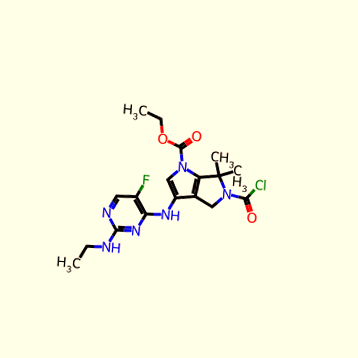 CCNc1ncc(F)c(Nc2cn(C(=O)OCC)c3c2CN(C(=O)Cl)C3(C)C)n1